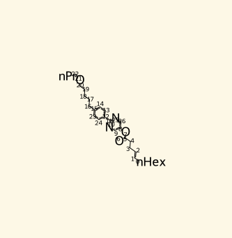 CCCCCCC=CCCC(=O)Oc1cnc(-c2ccc(CCCCCOCCC)cc2)nc1